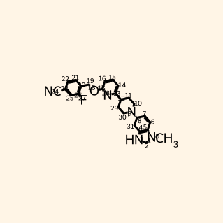 CN1CNC2=C1C=C[C@H](N1CCC(c3cccc(OCc4ccc(C#N)cc4F)n3)CC1)C2